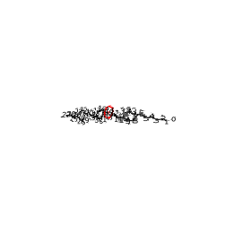 CCCCCCCC1CCC(C=CCOc2ccc(CCC3CCC(CCC)CC3)cc2)CC1